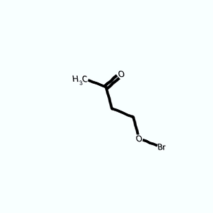 CC(=O)CCOBr